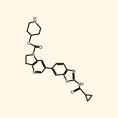 O=C(Nc1nc2ccc(-c3cnc4c(c3)N(C(=O)OC3CCNCC3)CC4)cc2s1)C1CC1